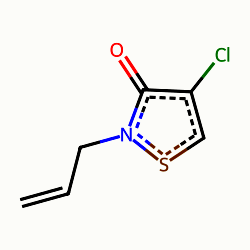 C=CCn1scc(Cl)c1=O